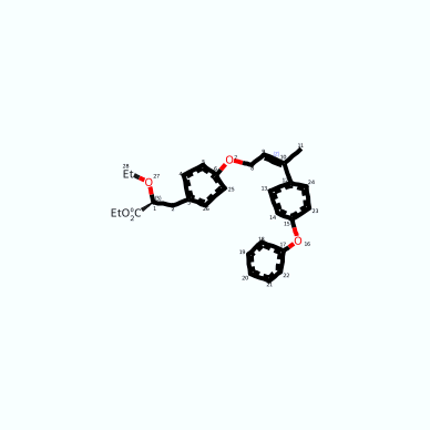 CCOC(=O)[C@H](Cc1ccc(OC/C=C(/C)c2ccc(Oc3ccccc3)cc2)cc1)OCC